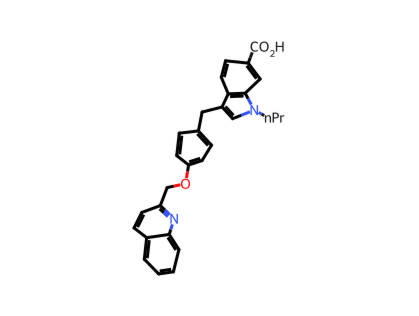 CCCn1cc(Cc2ccc(OCc3ccc4ccccc4n3)cc2)c2ccc(C(=O)O)cc21